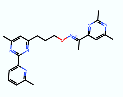 C/C(=N\OCCCc1cc(C)nc(-c2cccc(C)n2)n1)c1cc(C)nc(C)n1